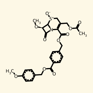 COc1ccc(COC(=O)c2ccc(COC(=O)C3=C(COC(C)=O)C[S+]([O-])C4[C@H](OC)C(=O)N34)cc2)cc1